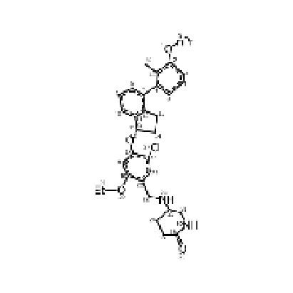 CCCOc1cccc(-c2cccc3c2CC[C@@H]3Oc2cc(OCC)c(CNC3CCC(=O)NC3)cc2Cl)c1C